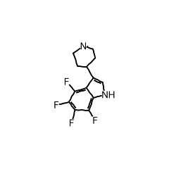 Fc1c(F)c(F)c2c(C3CC[N]CC3)c[nH]c2c1F